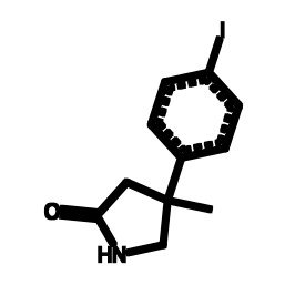 CC1(c2ccc(I)cc2)CNC(=O)C1